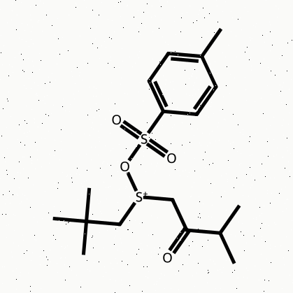 Cc1ccc(S(=O)(=O)O[S+](CC(=O)C(C)C)CC(C)(C)C)cc1